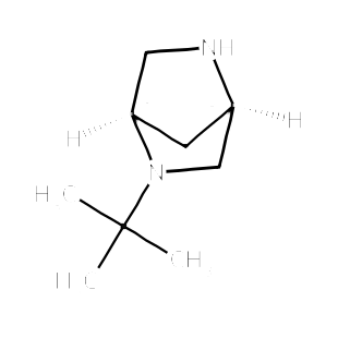 CC(C)(C)N1C[C@H]2C[C@@H]1CN2